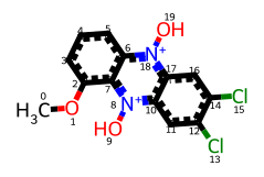 COc1cccc2c1[n+](O)c1cc(Cl)c(Cl)cc1[n+]2O